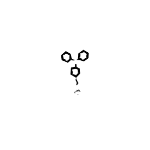 CCOS(=O)(=O)O.c1ccc(P(c2ccccc2)c2ccccc2)cc1